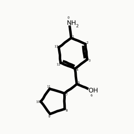 NC1C=CC(C(O)C2CCCC2)=CC1